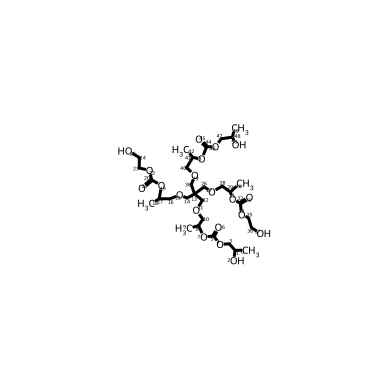 CC(O)COC(=O)OC(C)COCC(COCC(C)OC(=O)OCCO)(COCC(C)OC(=O)OCCO)COCC(C)OC(=O)OCC(C)O